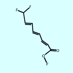 O=C(C=CC=CC=CC(F)F)OF